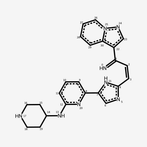 N=C(/C=C\c1ncc(-c2cccc(NC3CCNCC3)n2)[nH]1)c1cnn2ccccc12